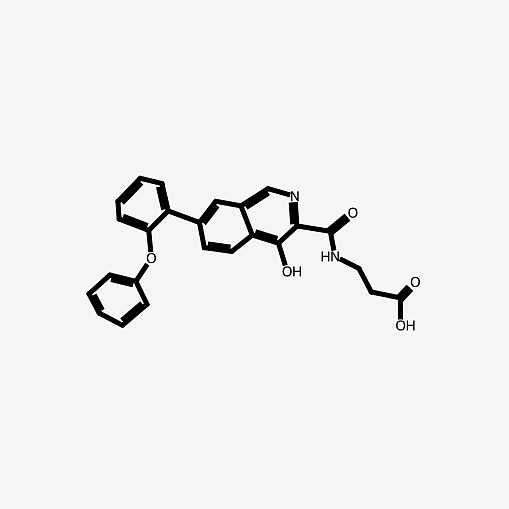 O=C(O)CCNC(=O)c1ncc2cc(-c3ccccc3Oc3ccccc3)ccc2c1O